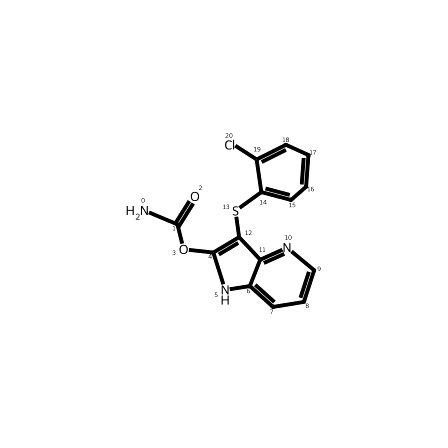 NC(=O)Oc1[nH]c2cccnc2c1Sc1ccccc1Cl